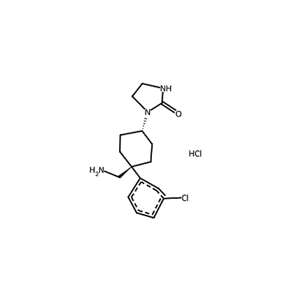 Cl.NC[C@]1(c2cccc(Cl)c2)CC[C@@H](N2CCNC2=O)CC1